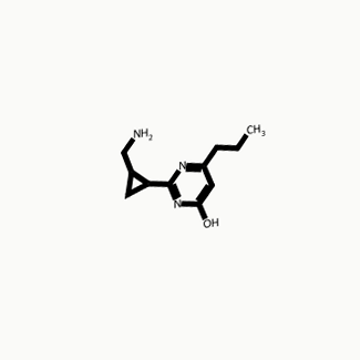 CCCc1cc(O)nc(C2CC2CN)n1